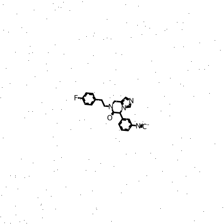 [C-]#[N+]c1cccc(C2C(=O)N(CCc3ccc(F)cc3)Cc3cncn32)c1